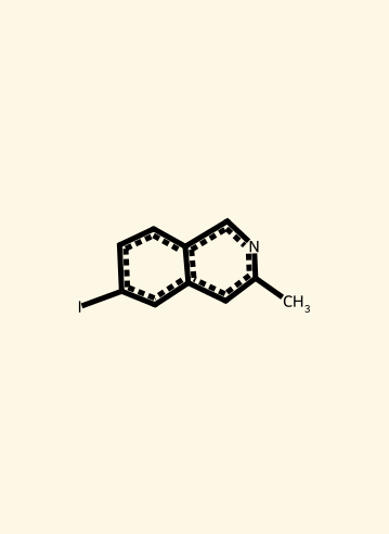 Cc1cc2cc(I)ccc2cn1